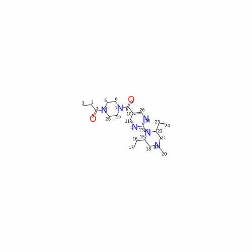 CCC(=O)N1CCN(C(=O)c2cnc(N3C(CC)CN(C)CC3CC)nc2)CC1